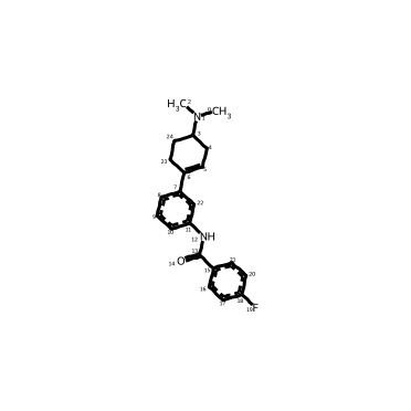 CN(C)C1CC=C(c2cccc(NC(=O)c3ccc(F)cc3)c2)CC1